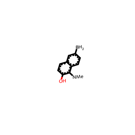 Bc1ccc2c(NC)c(O)ccc2c1